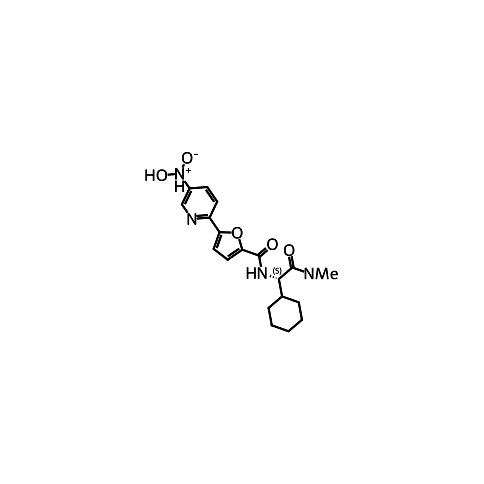 CNC(=O)[C@@H](NC(=O)c1ccc(-c2ccc([NH+]([O-])O)cn2)o1)C1CCCCC1